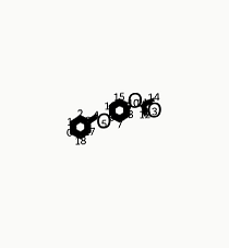 c1ccc(COc2ccc(OC3COC3)cc2)cc1